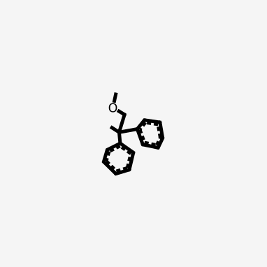 COCC(C)(c1ccccc1)c1ccccc1